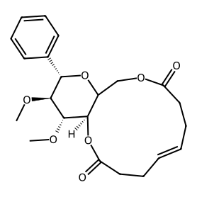 CO[C@@H]1[C@@H](OC)[C@H](c2ccccc2)OC2COC(=O)CC/C=C/CCC(=O)O[C@H]21